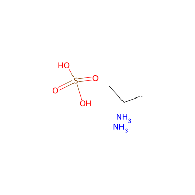 N.N.O=S(=O)(O)O.[CH2]CC